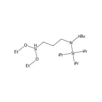 CCCCN(CCC[SiH](OCC)OCC)[Si](C(C)C)(C(C)C)C(C)C